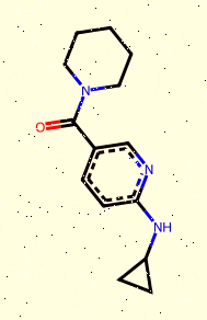 O=C(c1ccc(NC2CC2)nc1)N1CCCCC1